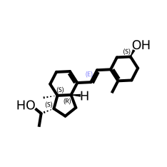 CC1=C(/C=C/C2=CCC[C@]3(C)[C@@H](C(C)O)CC[C@@H]23)C[C@@H](O)CC1